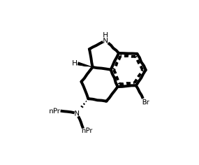 CCCN(CCC)[C@H]1Cc2c(Br)ccc3c2[C@@H](CN3)C1